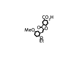 CCOc1ccc(OC)cc1C=C1Oc2ccc(C(=O)O)cc2C1=O